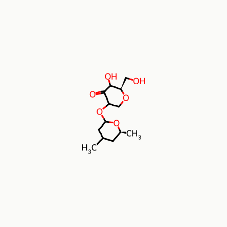 CC1CC(OC2CO[C@H](CO)C(O)C2=O)O[C@@H](C)C1